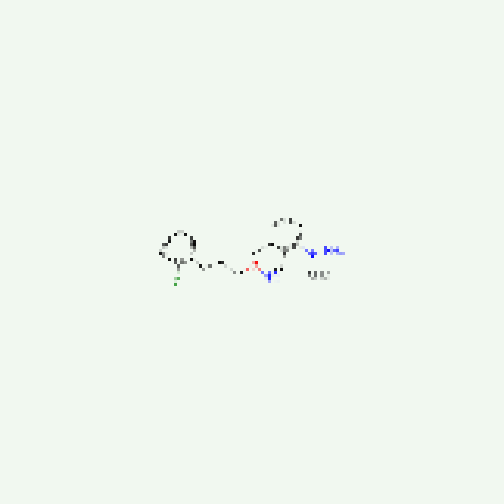 Cc1cccc(N(N)C=O)c1/C=N\OCCCc1ccccc1Cl